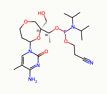 Cc1cn(C2CCOC[C@@](CO)([C@@H](C)OP(OCCC#N)N(C(C)C)C(C)C)O2)c(=O)nc1N